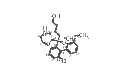 CO[C@](CCCCO)(c1cccc(Cl)c1-c1cccc(SC)c1)[C@H]1CNCCO1